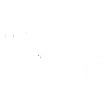 CS(=O)(=O)C(CCn1ccc(-c2ccc3[nH]c(=O)ccc3c2)cc1=O)C(N)=O